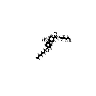 CCCCCCCOc1ccc(C2(O)CCC(C(=O)OCCCCCC)CC2)cc1